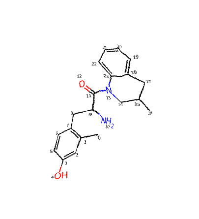 Cc1cc(O)ccc1CC(N)C(=O)N1CC(C)Cc2ccccc21